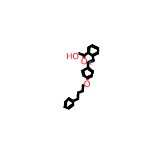 O=C(CO)c1ccccc1/C=C/c1ccc(OCCCCc2ccccc2)cc1